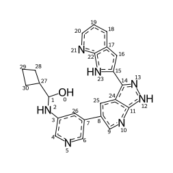 OC(Nc1cncc(-c2cnc3[nH]nc(-c4cc5cccnc5[nH]4)c3c2)c1)C1CCC1